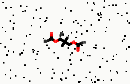 CC(C)C(=O)OCC(C)(C)[C@H](OC(=O)C(C)C)C(C)C